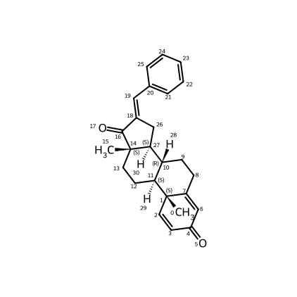 C[C@]12C=CC(=O)C=C1CC[C@@H]1[C@@H]2CC[C@]2(C)C(=O)C(=Cc3ccccc3)C[C@@H]12